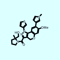 COc1cc2c(cc1-c1ccn(C)c1)-c1c(c(C(=O)N3CCCC3(C)CO)nn1-c1ccsc1)CO2